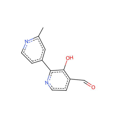 Cc1cc(-c2nccc(C=O)c2O)ccn1